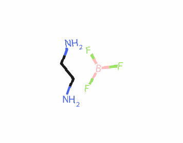 FB(F)F.NCCN